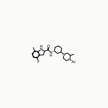 CC(=O)N1CCN(C2CCC[C@@H](NC(=O)C3Cc4c(F)ccc(C)c4N3)C2)CC1C